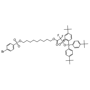 CC(C)(C)c1ccc(S(OS(=O)(=O)C(F)(F)C(=O)OCCCCCCCCCOS(=O)(=O)c2ccc(Br)cc2)(c2ccc(C(C)(C)C)cc2)c2ccc(C(C)(C)C)cc2)cc1